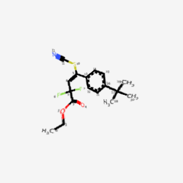 CCOC(=O)C(F)(F)/C=C(/SC#N)c1ccc(C(C)(C)C)cc1